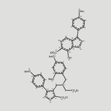 CCOC(=O)CN(Cc1ccc(OC)cc1OC)Cc1c(-c2ccc(OC)cc2)noc1C(=O)OCC.CCOC(=O)c1ncc2c(-c3ccc(OC)cc3)noc2c1O